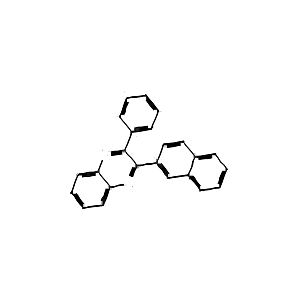 c1ccc(-c2nc3ccccc3nc2-c2ccc3ccccc3c2)cc1